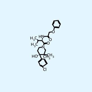 CC(C)[C@@H](NC(=O)COc1ccccc1)C(=O)N1CC[C@](O)(c2ccc(Cl)cc2)C(C)(C)C1